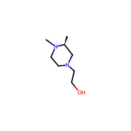 C[C@H]1CN(CCO)CCN1C